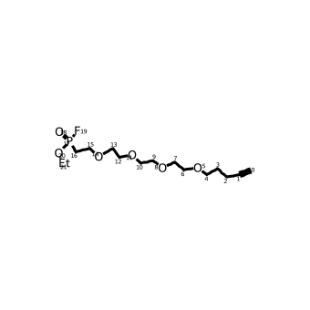 C#CCCCOCCOCCOCCOCCP(=O)(F)OCC